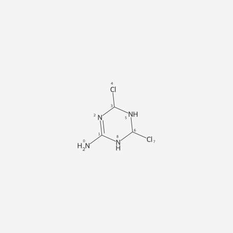 NC1=NC(Cl)NC(Cl)N1